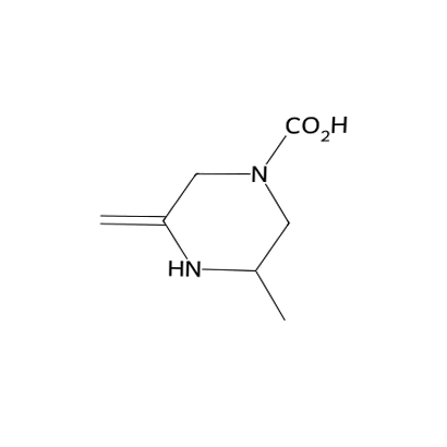 C=C1CN(C(=O)O)CC(C)N1